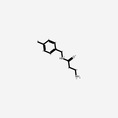 Cc1ccc(CNC(=O)CCN)cc1